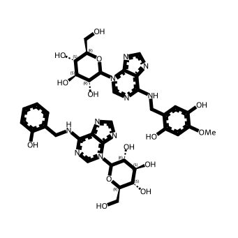 COc1cc(O)c(CNc2ncn(C3O[C@H](CO)[C@@H](O)[C@H](O)[C@H]3O)c3ncnc2-3)cc1O.OC[C@H]1OC(n2cnc(NCc3ccccc3O)c3ncnc2-3)[C@H](O)[C@@H](O)[C@@H]1O